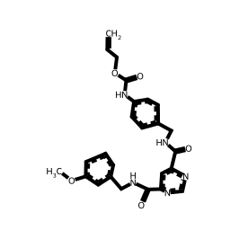 C=CCOC(=O)Nc1ccc(CNC(=O)c2cc(C(=O)NCc3cccc(OC)c3)ncn2)cc1